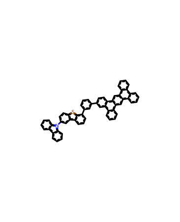 c1cc(-c2ccc3c(c2)c2ccccc2c2cc4c5ccccc5c5ccccc5c4cc32)cc(-c2cccc3c2sc2ccc(-n4c5ccccc5c5ccccc54)cc23)c1